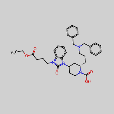 CCOC(=O)CCCn1c(=O)n(C2CCN(C(=O)O)[C@@H](CCCN(Cc3ccccc3)Cc3ccccc3)C2)c2ccccc21